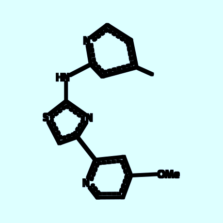 COc1ccnc(-c2csc(Nc3cc(C)ccn3)n2)c1